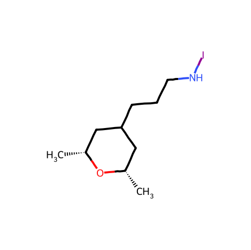 C[C@@H]1CC(CCCNI)C[C@H](C)O1